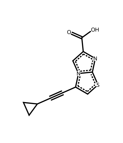 O=C(O)c1cn2c(C#CC3CC3)csc2n1